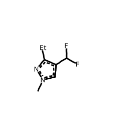 CCc1nn(C)cc1C(F)F